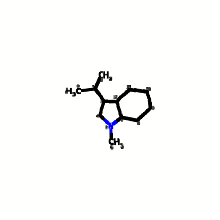 CC(C)C1CN(C)C2CCCCC12